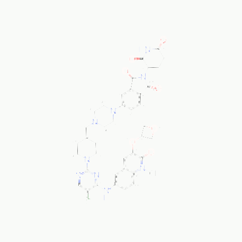 Cn1c(=O)c(OC2COC2)cc2cc(Nc3nc(N4CCC(CN5CCN(c6ccc7c(c6)C(=O)N(C6CCC(=O)NC6=O)C7=O)CC5)CC4)ncc3Cl)ccc21